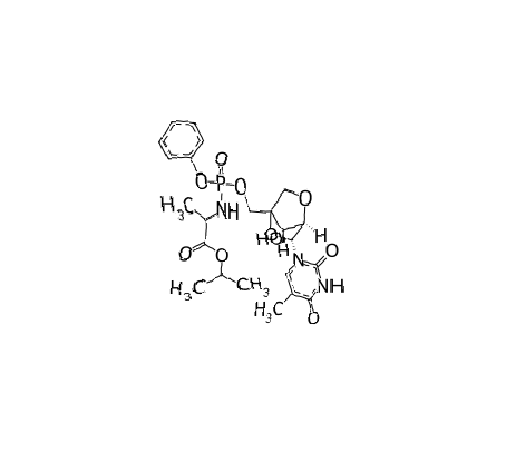 Cc1cn([C@@H]2OC3(COP(=O)(NC(C)C(=O)OC(C)C)Oc4ccccc4)CO[C@@H]2[C@@H]3O)c(=O)[nH]c1=O